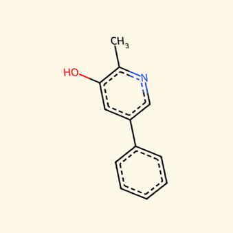 Cc1ncc(-c2ccccc2)cc1O